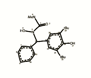 CNC(=O)N(O)C(c1ccccc1)c1cc(C(C)(C)C)c(O)c(C(C)(C)C)c1